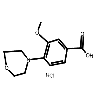 COc1cc(C(=O)O)ccc1N1CCOCC1.Cl